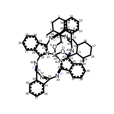 CC1CCCC(C)C1CO[Si]1(OCC2C(C)CCCC2C)n2c3c4ccccc4c2/N=C2N=C(/N=c4/c5ccccc5/c(n41)=N/C1=NC(=N\3)/c3ccccc31)c1ccccc1\2